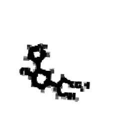 NC[C@H](CC(=O)O)c1ccc(Cl)c(-c2ccsc2)c1